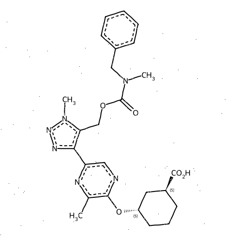 Cc1nc(-c2nnn(C)c2COC(=O)N(C)Cc2ccccc2)cnc1O[C@H]1CCC[C@H](C(=O)O)C1